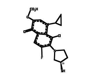 O=C(O)Oc1cn(C2CC2)c2c(Cl)c(N3CC[C@@H](S)C3)c(F)cc2c1=O